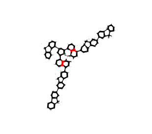 CC1(C)c2ccccc2-c2ccc(-c3ccc4c(c3)C(C)(C)c3cc(-c5ccc6c(c5)Oc5cc(-c7ccc8c(c7)C(C)(C)c7cc(-c9ccc%10c(c9)C(C)(C)c9ccccc9-%10)ccc7-8)ccc5N6c5c(-c6ccccc6)cc(-c6cccc7c6-c6ccccc6C7(C)C)cc5-c5ccccc5)ccc3-4)cc21